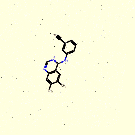 C#Cc1cccc(NC2NC=Nc3cc(C)c(C)cc32)c1